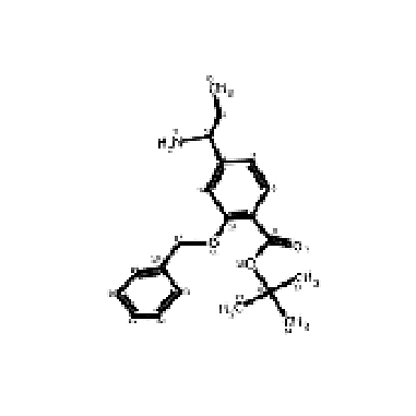 CCC(N)c1ccc(C(=O)OC(C)(C)C)c(OCc2ccccc2)c1